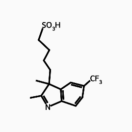 CC1=Nc2ccc(C(F)(F)F)cc2C1(C)CCCCS(=O)(=O)O